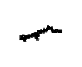 CCCCCCCCCCCCC1CC1CCCCCOC(COCCCCCC1CC1CCCCCCCCCCC)CN(C)C